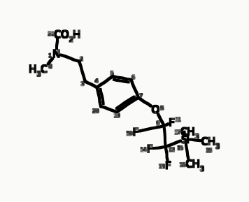 CN(CCc1ccc(OC(F)(F)C(F)(F)[Si](C)(C)C)cc1)C(=O)O